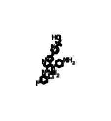 CC(C)(CO)c1ccc(-c2cc3c(N[C@H]4CC[C@H](N)CC4)c(/C(N)=N/c4cc(F)ccc4Cl)cnn3c2)cn1